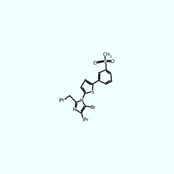 CC(C)Cc1nc(C(C)C)c(Br)n1-c1ccc(-c2cccc(S(C)(=O)=O)c2)s1